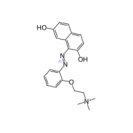 C[N+](C)(C)CCOc1ccccc1/N=N/c1c(O)ccc2ccc(O)cc12